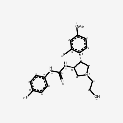 COc1ccc([C@@H]2CN(CCO)C[C@H]2NC(=O)Nc2ccc(F)cc2)c(F)c1